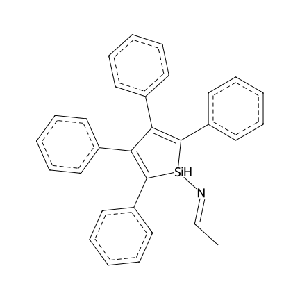 CC=N[SiH]1C(c2ccccc2)=C(c2ccccc2)C(c2ccccc2)=C1c1ccccc1